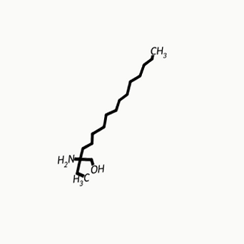 CCCCCCCCCCCCCC(N)(CC)CO